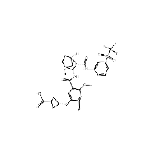 COc1cc(F)c(O[C@H]2C[C@H](C(=O)O)C2)cc1C(=O)N[C@@H]1[C@H]2CC[C@H](C2)[C@@H]1C(=O)Nc1cccc(S(=O)(=O)C(F)(F)F)c1